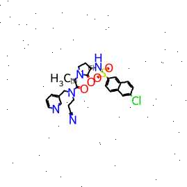 C[C@@H](C(=O)N(CCC#N)Cc1cccnc1)N1CC[C@H](NS(=O)(=O)c2ccc3cc(Cl)ccc3c2)C1=O